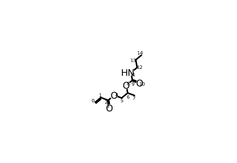 C=CC(=O)OCC(C)OC(=O)NCCC